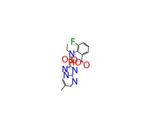 CCN(c1c(F)cccc1C(=O)O)S(=O)(=O)c1nc2ncc(C)cn2n1